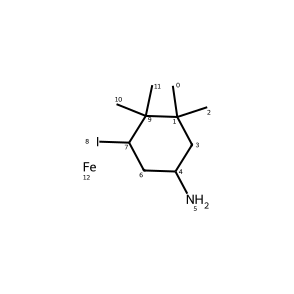 CC1(C)CC(N)CC(I)C1(C)C.[Fe]